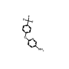 Nc1ccc(Oc2ccc(C(F)(F)F)cc2)nc1